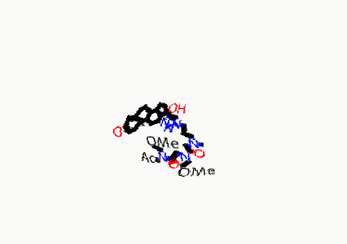 COCCN(CC(C)=O)C(=O)CN(CCOC)C(=O)CN(C)CCCn1cc([C@]2(O)CCC3C4CCC5=CC(=O)CC[C@]5(C)C4CC[C@@]32C)nn1